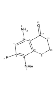 CNc1c(F)cc(N)c2c1CCCC2=O